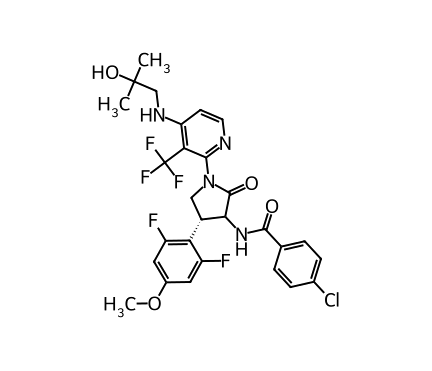 COc1cc(F)c([C@@H]2CN(c3nccc(NCC(C)(C)O)c3C(F)(F)F)C(=O)C2NC(=O)c2ccc(Cl)cc2)c(F)c1